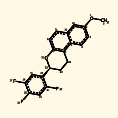 COc1ccc2c3c(ccc2c1)O[C@H](c1cc(F)c(F)cc1F)CC3